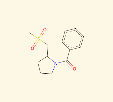 CS(=O)(=O)CC1CCCN1C(=O)c1ccccc1